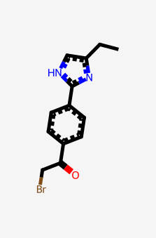 CCc1c[nH]c(-c2ccc(C(=O)CBr)cc2)n1